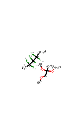 CCCCCCOC(COCC)(OC)OCC.O=S(=O)(O)C(F)(F)C(F)(F)C(F)(F)C(F)(F)F